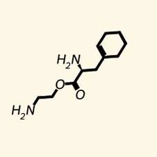 NCCOC(=O)[C@@H](N)CC1=CCCCC1